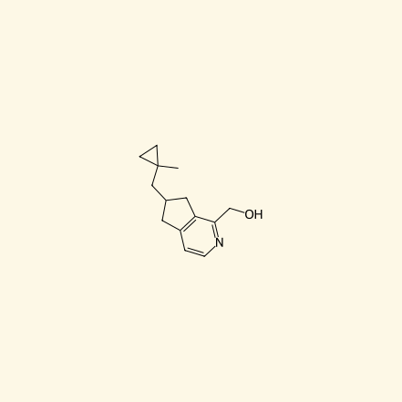 CC1(CC2Cc3ccnc(CO)c3C2)CC1